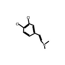 CN(C)C=Cc1ccc(Cl)c(Cl)c1